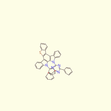 c1ccc(-c2nc(-c3ccccc3)nc(-n3c4ccccc4c4c5c6ccccc6sc5c5c6ccccc6n(-c6ccccc6)c5c43)n2)cc1